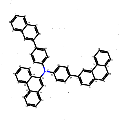 c1ccc2cc(-c3ccc(N(c4ccc(-c5ccc6ccc7ccccc7c6c5)cc4)c4cc5ccccc5c5ccccc45)cc3)ccc2c1